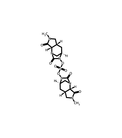 CN1C[C@@H]2C[C@@H]3CN(C(=O)N3OS(=O)(=O)ON3C(=O)N4C[C@H]3C[C@H]3CN(C)C(=O)[C@H]34)[C@@H]2C1=O